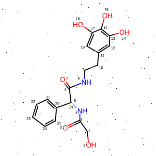 O=C(CO)N[C@@H](C(=O)NCCc1cc(O)c(O)c(O)c1)c1ccccc1